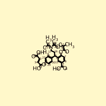 CC(C)C(=O)Oc1ccc(C(=O)O)cc1C(CCN(C(C)C)C(C)C)c1ccccc1.O=C(O)/C=C/C(=O)O